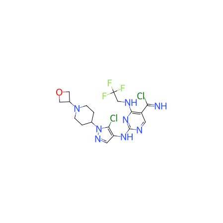 N=C(Cl)c1cnc(Nc2cnn(C3CCN(C4COC4)CC3)c2Cl)nc1NCC(F)(F)F